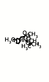 COC(=O)C(CC1=CCCN(C)C1)NC(=O)OC(C)(C)C